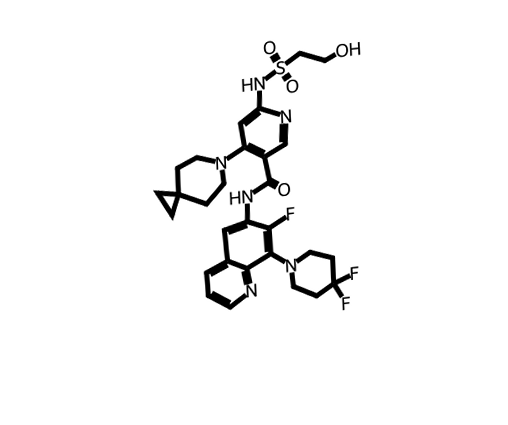 O=C(Nc1cc2cccnc2c(N2CCC(F)(F)CC2)c1F)c1cnc(NS(=O)(=O)CCO)cc1N1CCC2(CC1)CC2